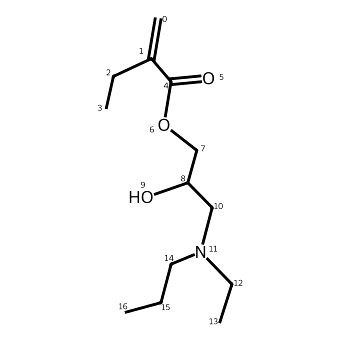 C=C(CC)C(=O)OCC(O)CN(CC)CCC